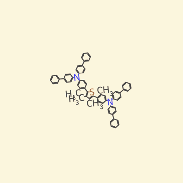 Cc1cc(N(c2ccc(-c3ccccc3)cc2)c2ccc(-c3ccccc3)cc2)ccc1-c1sc(-c2ccc(N(c3ccc(-c4ccccc4)cc3)c3ccc(-c4ccccc4)cc3)cc2C)c(C)c1C